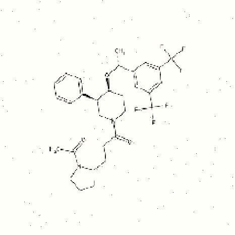 CC(=O)N1CCCC1CCC(=O)N1CC[C@H](O[C@H](C)c2cc(C(F)(F)F)cc(C(F)(F)F)c2)[C@H](c2ccccc2)C1